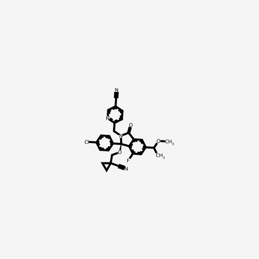 COC(C)c1cc(F)c2c(c1)C(=O)N(Cc1ccc(C#N)cn1)[C@@]2(OCC1(C#N)CC1)c1ccc(Cl)cc1